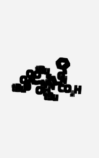 CC(C)(C)OC(=O)N(CCN(C(=O)OC(C)(C)C)c1nc(C(=NOCc2ccccc2)C(=O)O)cs1)C(=O)OC(C)(C)C